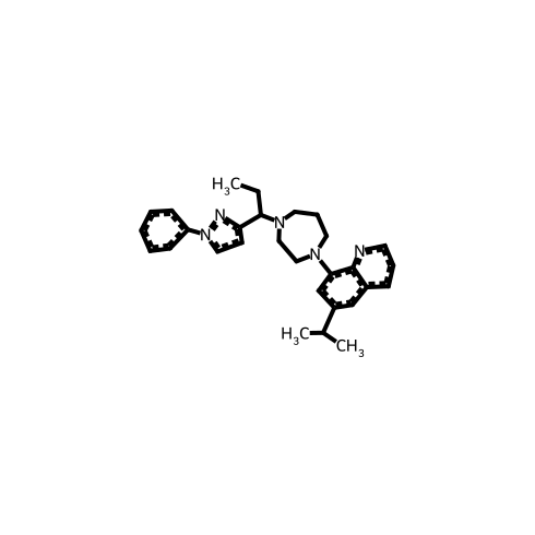 CCC(c1ccn(-c2ccccc2)n1)N1CCCN(c2cc(C(C)C)cc3cccnc23)CC1